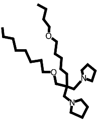 CCCCCCCCOCC(CCCCCOCCCC)(CN1CCCC1)CN1CCCC1